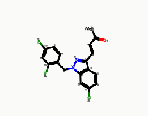 COC(=O)C=Cc1nn(Cc2ccc(F)cc2F)c2cc(Cl)ccc12